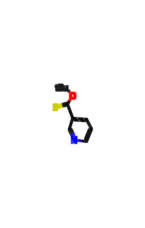 CC(C)(C)OC(=S)c1cccnc1